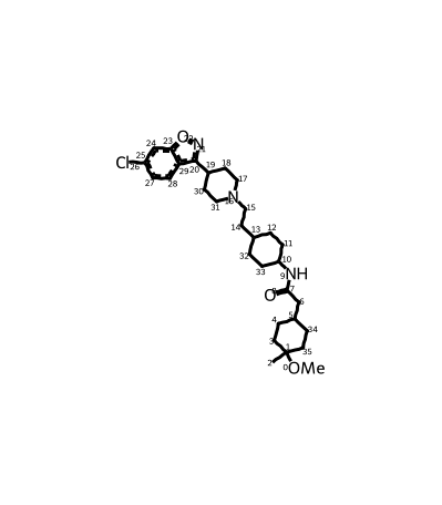 COC1(C)CCC(CC(=O)NC2CCC(CCN3CCC(c4noc5cc(Cl)ccc45)CC3)CC2)CC1